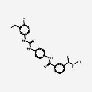 CNC(=O)c1cccc(C(=O)Nc2ccc(NC(=O)Nc3ccc(Cl)c(CF)c3)cc2)c1